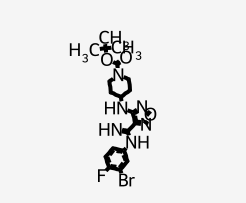 CC(C)(C)OC(=O)N1CCC(Nc2nonc2C(=N)Nc2ccc(F)c(Br)c2)CC1